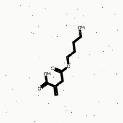 C=C(CC(=O)OCCCCO)C(=O)O